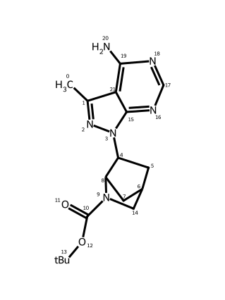 Cc1nn(C2CC3CC2N(C(=O)OC(C)(C)C)C3)c2ncnc(N)c12